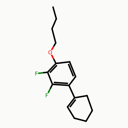 CCCCOc1ccc(C2=CCCCC2)c(F)c1F